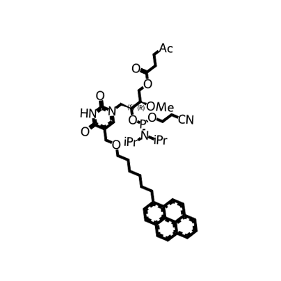 CO[C@H](COC(=O)CCC(C)=O)[C@H](Cn1cc(COCCCCCCc2ccc3ccc4cccc5ccc2c3c45)c(=O)[nH]c1=O)OP(OCCC#N)N(C(C)C)C(C)C